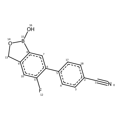 N#Cc1ccc(-c2cc3c(cc2F)COB3O)cc1